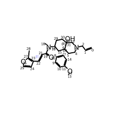 C=CCN1CC[C@@]2(c3cccc(OC)c3)C[C@@H](N(C)C(=O)/C=C/c3ccoc3C)CC[C@]2(O)C1